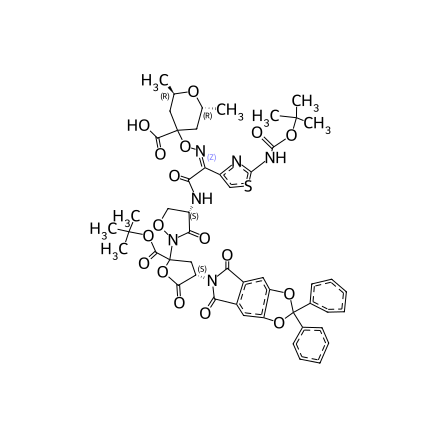 C[C@@H]1CC(O/N=C(\C(=O)N[C@H]2CON(C3(C(=O)OC(C)(C)C)C[C@H](N4C(=O)c5cc6c(cc5C4=O)OC(c4ccccc4)(c4ccccc4)O6)C(=O)O3)C2=O)c2csc(NC(=O)OC(C)(C)C)n2)(C(=O)O)C[C@@H](C)O1